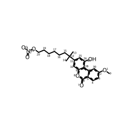 COc1ccc2c(=O)oc3cc(C(C)(C)CCCCCCO[N+](=O)[O-])cc(O)c3c2c1